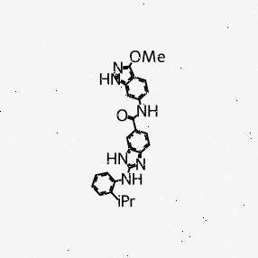 COc1n[nH]c2cc(NC(=O)c3ccc4nc(Nc5ccccc5C(C)C)[nH]c4c3)ccc12